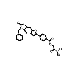 CCN(CC)C(=O)COC(=O)c1ccc(-c2ccc(/C=C3/SC(=S)N(Cc4ccccc4)C3=O)o2)cc1